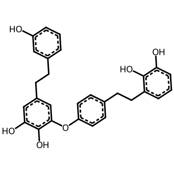 Oc1cccc(CCc2cc(O)c(O)c(Oc3ccc(CCc4cccc(O)c4O)cc3)c2)c1